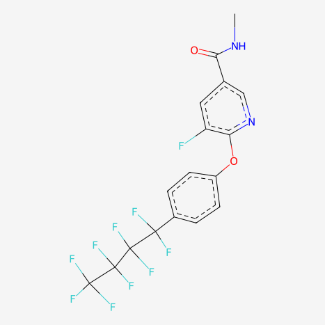 CNC(=O)c1cnc(Oc2ccc(C(F)(F)C(F)(F)C(F)(F)C(F)(F)F)cc2)c(F)c1